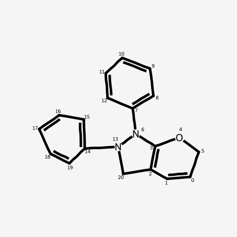 C1=CC2=C(OC1)N(c1ccccc1)N(c1ccccc1)C2